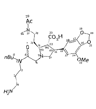 CCCCN(CCCN)C(=O)CN1C[C@H](c2cc(OC)c3c(c2)OCO3)[C@@H](C(=O)O)[C@@H]1CCN(C)C(C)=O